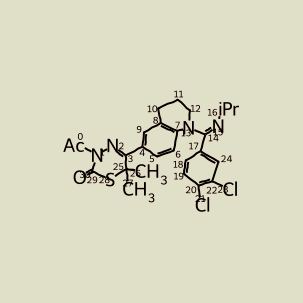 CC(=O)N1N=C(c2ccc3c(c2)CCCN3/C(=N\C(C)C)c2ccc(Cl)c(Cl)c2)C(C)(C)SC1=O